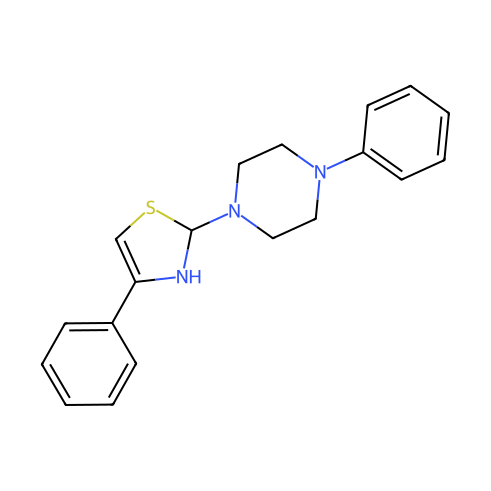 C1=C(c2ccccc2)NC(N2CCN(c3ccccc3)CC2)S1